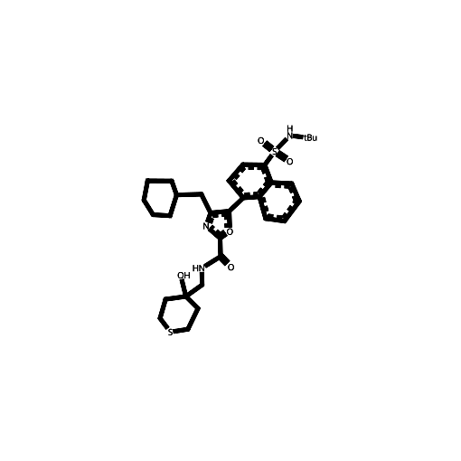 CC(C)(C)NS(=O)(=O)c1ccc(-c2oc(C(=O)NCC3(O)CCSCC3)nc2CC2CCCCC2)c2ccccc12